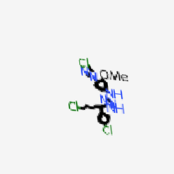 COc1cc(Nc2n[nH]c(C(CCCCCl)c3ccc(Cl)cc3)n2)ccc1-n1cnc(Cl)c1